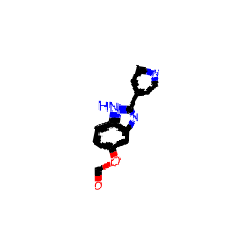 O=COc1ccc2[nH]c(-c3ccncc3)nc2c1